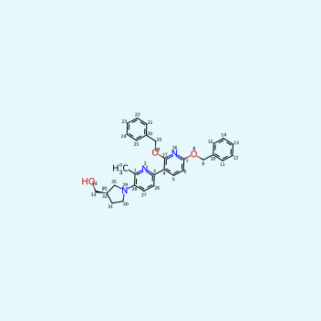 Cc1nc(-c2ccc(OCc3ccccc3)nc2OCc2ccccc2)ccc1N1CC[C@@H](CO)C1